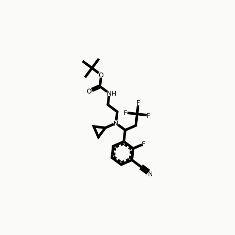 CC(C)(C)OC(=O)NCCN(C1CC1)C(CC(F)(F)F)c1cccc(C#N)c1F